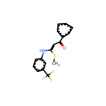 CSC(=CC(=O)c1ccccc1)Nc1cccc(C(F)(F)F)c1